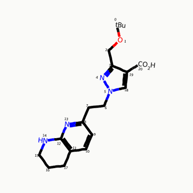 CC(C)(C)OCc1nn(CCc2ccc3c(n2)NCCC3)cc1C(=O)O